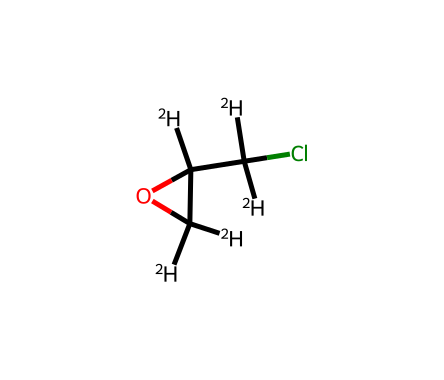 [2H]C([2H])(Cl)C1([2H])OC1([2H])[2H]